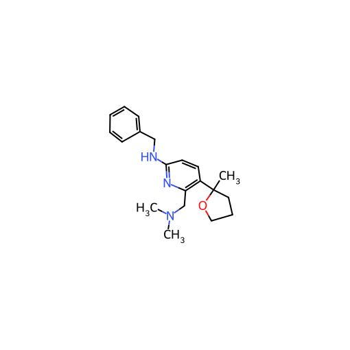 CN(C)Cc1nc(NCc2ccccc2)ccc1C1(C)CCCO1